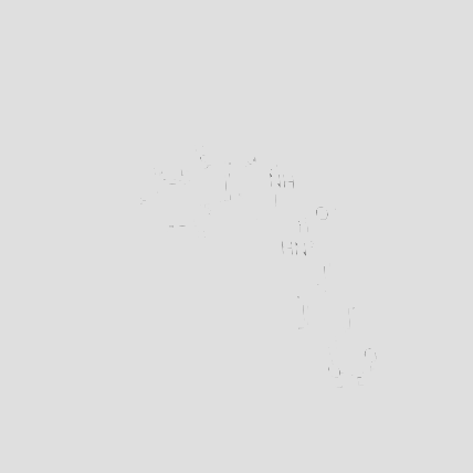 O=C(NCc1ccc2c(c1)OCO2)C1Cc2c(sc3ccccc23)CN1